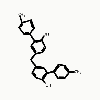 Cc1ccc(-c2cc(Cc3ccc(O)c(-c4ccc(C)cc4)c3)ccc2O)cc1